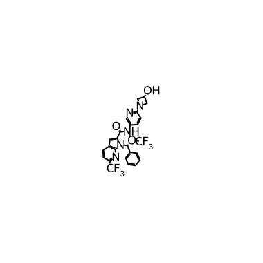 O=C(Nc1ccc(N2CC(O)C2)nc1)c1cc2ccc(C(F)(F)F)nc2n1C(OC(F)(F)F)c1ccccc1